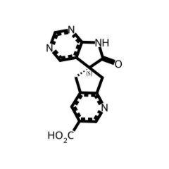 O=C(O)c1cnc2c(c1)C[C@@]1(C2)C(=O)Nc2ncncc21